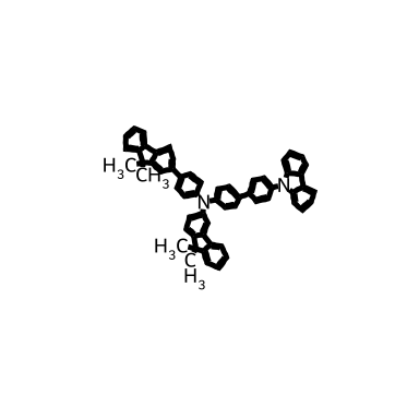 CC1(C)c2ccccc2-c2cc(N(c3ccc(-c4ccc(-n5c6ccccc6c6ccccc65)cc4)cc3)c3ccc(-c4ccc5c(c4)C(C)(C)c4ccccc4-5)cc3)ccc21